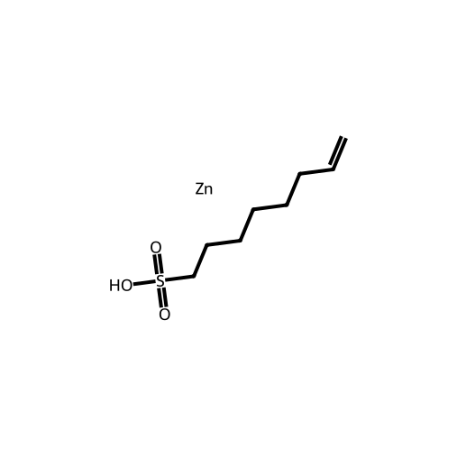 C=CCCCCCCS(=O)(=O)O.[Zn]